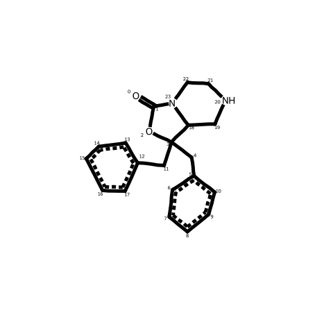 O=C1OC(Cc2ccccc2)(Cc2ccccc2)C2CNCCN12